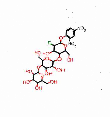 O=[N+]([O-])c1ccc(OC2OC(CO)C(OC3OC(CO)C(OC4OC(CO)C(O)C(O)C4O)C(O)C3O)C(O)C2F)c([N+](=O)[O-])c1